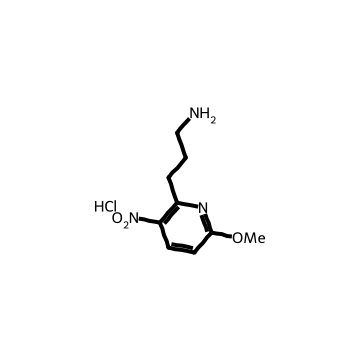 COc1ccc([N+](=O)[O-])c(CCCN)n1.Cl